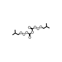 CC(C)COOOC(=O)OC(=O)OOOCC(C)C